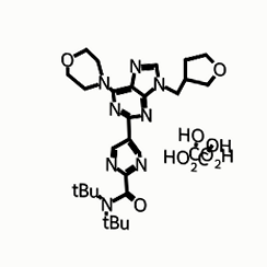 CC(C)(C)N(C(=O)c1ncc(-c2nc(N3CCOCC3)c3ncn(CC4CCOC4)c3n2)cn1)C(C)(C)C.O=C(O)O.O=C(O)O